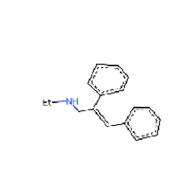 CCNCC(=Cc1ccccc1)c1ccccc1